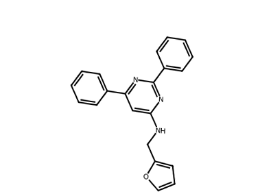 c1ccc(-c2cc(NCc3ccco3)nc(-c3ccccc3)n2)cc1